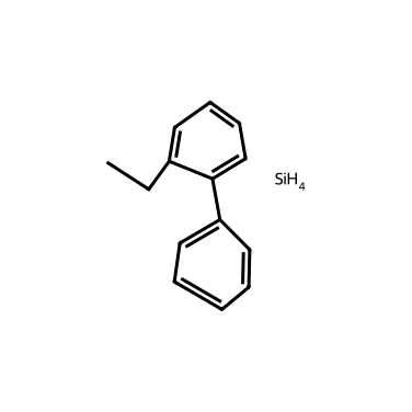 CCc1ccccc1-c1ccccc1.[SiH4]